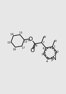 Cc1cnccc1C(C)C(=O)OC1CCCCC1